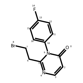 O=c1ccnc(CCBr)n1-c1ccc(F)cc1